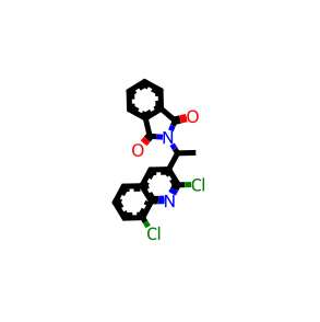 CC(c1cc2cccc(Cl)c2nc1Cl)N1C(=O)c2ccccc2C1=O